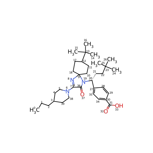 CCCC1CCN(C2=NC3(CCC(C(C)(C)C)CC3)N([C@H](CCC(C)(C)C)c3ccc(C(=O)O)cc3)C2=O)CC1